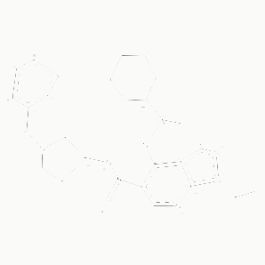 CCn1ncc2c(NC(C)C3CCCCC3)c(C(=O)NC3CCN(Cc4ccccc4)C3)cnc21